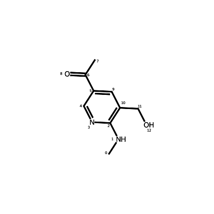 CNc1ncc(C(C)=O)cc1CO